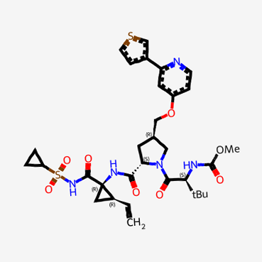 C=C[C@H]1C[C@]1(NC(=O)[C@@H]1C[C@@H](COc2ccnc(-c3ccsc3)c2)CN1C(=O)[C@@H](NC(=O)OC)C(C)(C)C)C(=O)NS(=O)(=O)C1CC1